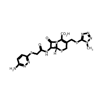 Cn1nnnc1SCC1=C(C(=O)O)N2C(=O)C(NC(=O)CSc3ccc(N)nn3)[C@H]2SC1